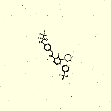 O=S(=O)(Nc1ccc(CNc2ncnc(N3CCOC[C@@H]3c3ccc(C(F)(F)F)cc3)c2F)cc1)C(F)(F)F